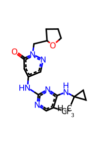 CC1(Nc2nc(Nc3cnn(CC4CCCO4)c(=O)c3)ncc2C(F)(F)F)CC1